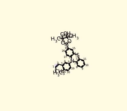 C/C=C\c1cc(N2c3ccccc3Sc3cc(B4OC(C)(C)C(C)(C)O4)ccc32)ccc1C